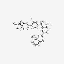 CN1C(=O)CCC12CCN(c1ncc(C(=N)c3cc(OCc4c(Cl)cncc4Cl)ccc3N)cc1F)CC2